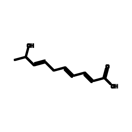 CC(O)C=CCC=CC=CC(=O)O